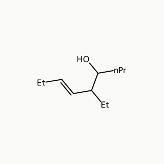 CCC=CC(CC)C(O)CCC